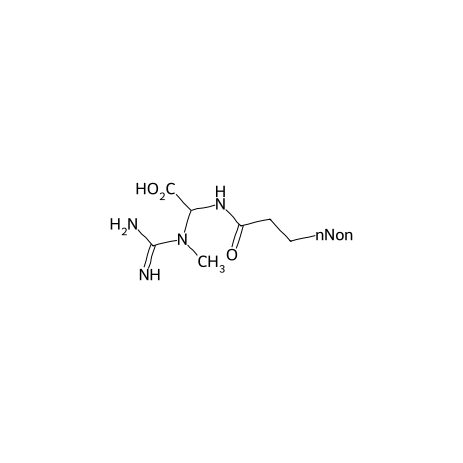 CCCCCCCCCCCC(=O)NC(C(=O)O)N(C)C(=N)N